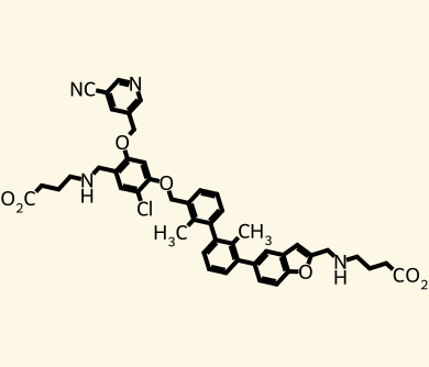 Cc1c(COc2cc(OCc3cncc(C#N)c3)c(CNCCCC(=O)O)cc2Cl)cccc1-c1cccc(-c2ccc3oc(CNCCCC(=O)O)cc3c2)c1C